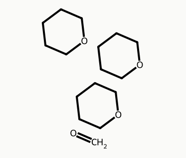 C1CCOCC1.C1CCOCC1.C1CCOCC1.C=O